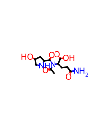 CC(=O)N(C(=O)C1CC(O)CN1)C(CCC(N)=O)C(=O)O